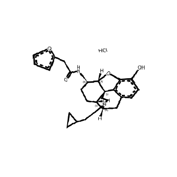 Cl.O=C(Cc1ccco1)N[C@@H]1CC[C@@]2(O)[C@H]3Cc4ccc(O)c5c4[C@@]2(CCN3CC2CC2)[C@H]1O5